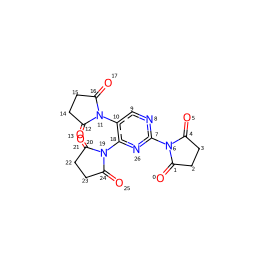 O=C1CCC(=O)N1c1ncc(N2C(=O)CCC2=O)c(N2C(=O)CCC2=O)n1